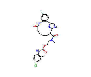 Cc1cc(Cl)ccc1NC(=O)OCCN(C)C(=O)C1CCCCC(=O)Nc2cc(F)ccc2-c2c[nH]c1n2